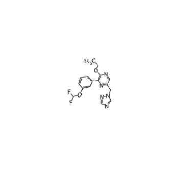 CCOc1ncc(Cn2cncn2)nc1-c1cccc(OC(F)F)c1